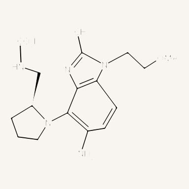 COCCn1c(C)nc2c(N3CCC[C@H]3CNC(=O)O)c(N)ccc21